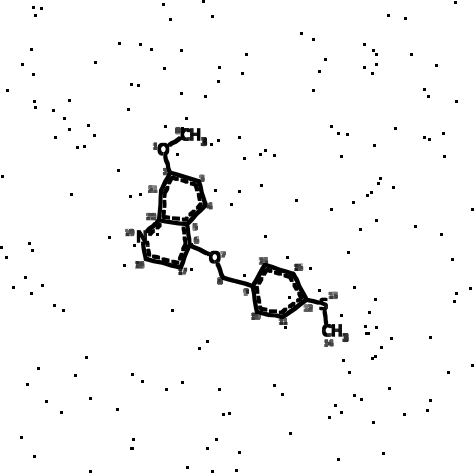 COc1ccc2c(OCc3ccc(SC)cc3)ccnc2c1